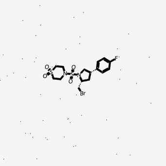 O=S1(=O)CCN(S(=O)(=O)N2C[C@H](c3ccc(F)cc3)C[C@@H]2CBr)CC1